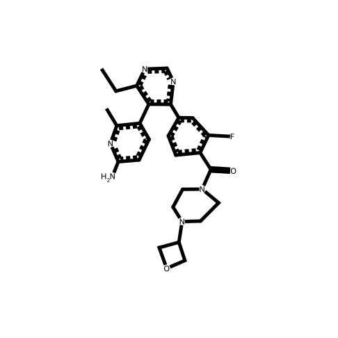 CCc1ncnc(-c2ccc(C(=O)N3CCN(C4COC4)CC3)c(F)c2)c1-c1ccc(N)nc1C